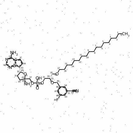 CCCCCCCCCCCCCCCCCCOC[C@@H](COP(=O)(O)OC[C@]1(N)CC[C@H](c2ccc3c(N)ncnn23)O1)OCc1cc(F)cc(C#N)c1